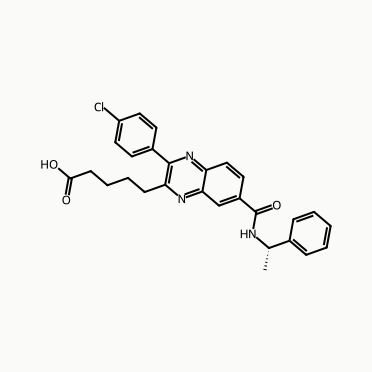 C[C@H](NC(=O)c1ccc2nc(-c3ccc(Cl)cc3)c(CCCCC(=O)O)nc2c1)c1ccccc1